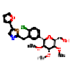 CCCCO[C@@H]1[C@@H](OCCCC)[C@H](c2ccc(Cl)c(Cc3ncc(-c4ccco4)s3)c2)O[C@H](CO)[C@H]1OCCCC